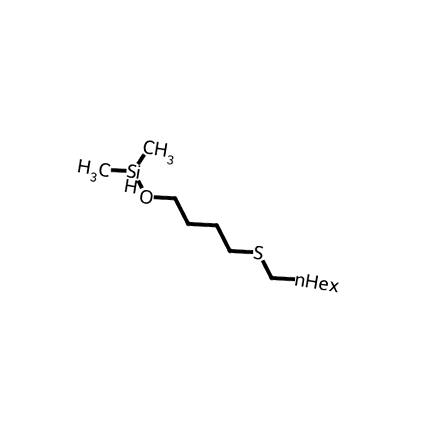 CCCCCCCSCCCCO[SiH](C)C